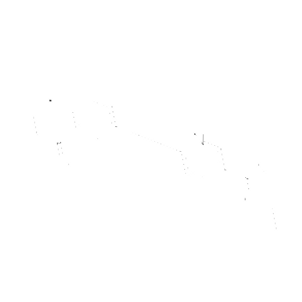 CCOC(=O)c1ccc(C#Cc2ccc3c(c2)C(=O)CCC3(C)C)nc1